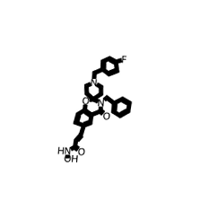 O=C(C=Cc1ccc2c(c1)C(=O)N(Cc1ccccc1)C1(CCN(Cc3ccc(F)cc3)CC1)O2)NO